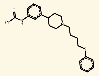 CC(C)C(=O)Nc1cccc(C2CCN(CCCCSc3ccccc3)CC2)c1